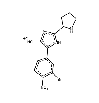 Cl.Cl.O=[N+]([O-])c1ccc(-c2cnc(C3CCCN3)[nH]2)cc1Br